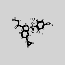 Cc1cc(C)c(S(=O)(=O)n2nc(C(=O)CBr)c3ccc(C4CC4)cc32)c(C)c1